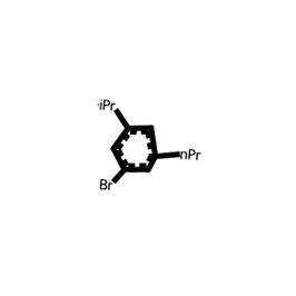 CCCc1cc(Br)cc([C](C)C)c1